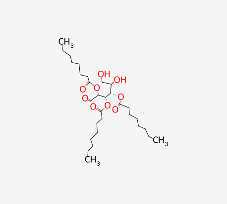 CCCCCCCC(=O)O[C@H]([C@H](OC(=O)CCCCCCC)[C@H](C=O)OC(=O)CCCCCCC)[C@H](O)CO